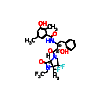 Cc1cc(O)c(C)c(C(=O)N[C@@H](Cc2ccccc2)[C@H](O)C(=O)N2CC(F)(F)C3(C)[C@H]2C(=O)N3CC(F)(F)F)c1